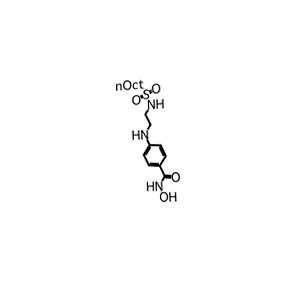 CCCCCCCCS(=O)(=O)NCCNc1ccc(C(=O)NO)cc1